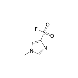 Cn1cnc(S(=O)(=O)F)c1